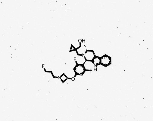 C[C@@H]1Cc2c([nH]c3ccccc23)[C@@H](c2c(F)cc(OC3CN(CCCF)C3)cc2F)N1CC1(CO)CC1